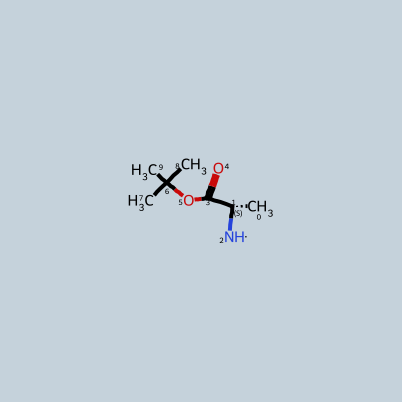 C[C@H]([NH])C(=O)OC(C)(C)C